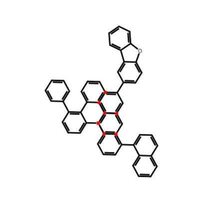 c1ccc(-c2ccccc2-c2c(-c3ccccc3)cccc2N(c2ccc(-c3ccc4oc5ccccc5c4c3)cc2)c2cccc(-c3cccc4ccccc34)c2)cc1